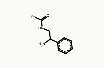 CCC(=O)NCC(N)c1ccccc1